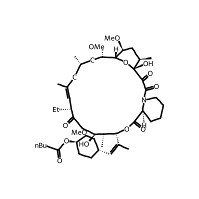 CCCCC(=O)O[C@@H]1CC[C@@H](/C=C(/C)[C@H]2OC(=O)[C@@H]3CCCCN3C(=O)C(=O)[C@]3(O)O[C@H]([C@@H](OC)C[C@@H](C)C/C(C)=C/[C@@H](CC)C(=O)C[C@H](O)[C@H]2C)[C@@H](OC)C[C@H]3C)C[C@H]1OC